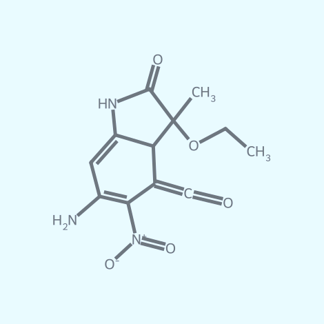 CCOC1(C)C(=O)NC2=CC(N)=C([N+](=O)[O-])C(=C=O)C21